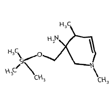 CC1C=CN(C)CC1(N)CO[Si](C)(C)C